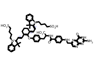 CC1(C)C(/C=C/C2=C(Oc3ccc(CC(NC(=O)c4ccc(NCc5cnc6nc(N)[nH]c(=O)c6n5)cc4)C(=O)O)cc3)C(=C/C=C3/N(CCCCS(=O)(=O)O)c4ccccc4C3(C)C)/CCC2)=[N+](CCCCS(=O)(=O)O)c2ccccc21